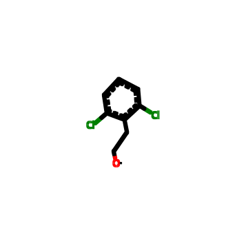 [O]CCc1c(Cl)cccc1Cl